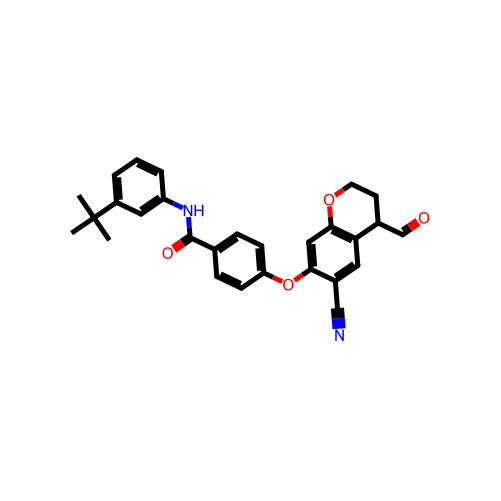 CC(C)(C)c1cccc(NC(=O)c2ccc(Oc3cc4c(cc3C#N)C(C=O)CCO4)cc2)c1